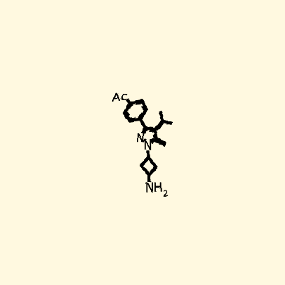 C=c1c(=C(C)C)c(-c2ccc(C(C)=O)cc2)nn1C1CC(N)C1